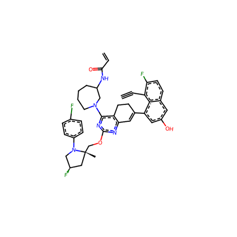 C#Cc1c(F)ccc2cc(O)cc(C3=Cc4nc(OC[C@]5(C)C[C@@H](F)CN5c5ccc(F)cc5)nc(N5CCCCC(NC(=O)C=C)C5)c4CC3)c12